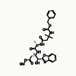 C[C@H](NC(=O)CC(C)(C)NC(=O)OCc1ccccc1)C(=O)N[C@@H](CC(=O)OC(C)(C)C)C(O)c1nc2ccccc2o1